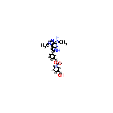 CNc1nc2[nH]c(-c3cccc(COC(=O)N4CCCC(CO)C4)c3)cc2c2c1ncn2C